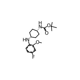 COc1cc(F)ccc1N[C@H]1CC[C@@H](NC(=O)OC(C)(C)C)CC1